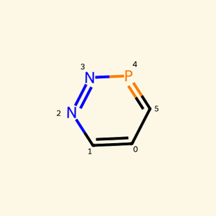 c1cnnpc1